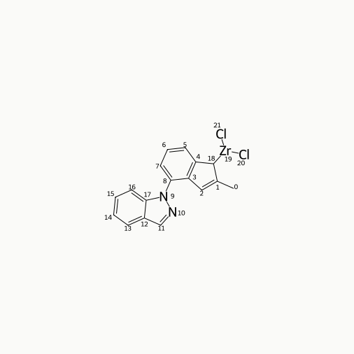 CC1=Cc2c(cccc2-n2ncc3ccccc32)[CH]1[Zr]([Cl])[Cl]